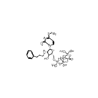 CCCCP(=O)(O)OP(=O)(O)OP(=O)(O)OP(=O)(O)OC[C@H]1O[C@@H](n2ccc(SCCC)nc2=O)[C@@H](OCCCc2ccccc2)C1O